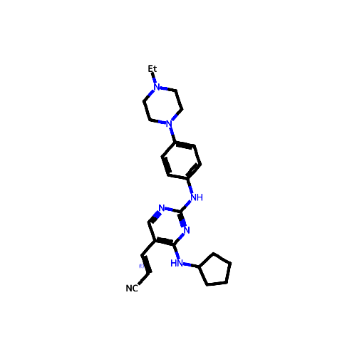 CCN1CCN(c2ccc(Nc3ncc(/C=C/C#N)c(NC4CCCC4)n3)cc2)CC1